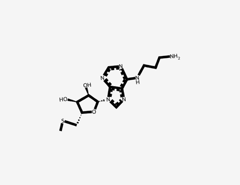 CSC[C@H]1O[C@@H](n2cnc3c(NCCCN)ncnc32)[C@H](O)[C@@H]1O